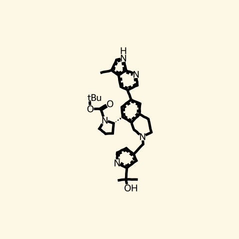 Cc1c[nH]c2ncc(-c3cc4c(c([C@@H]5CCCN5C(=O)OC(C)(C)C)c3)CN(Cc3ccnc(C(C)(C)O)c3)CC4)cc12